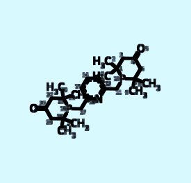 CC1(C)CC(=O)CC(C)(C)P1Cc1cccc(CP2C(C)(C)CC(=O)CC2(C)C)n1